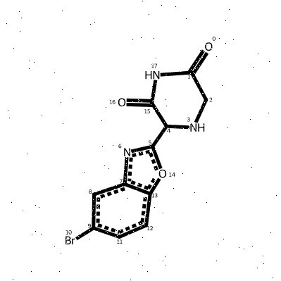 O=C1CNC(c2nc3cc(Br)ccc3o2)C(=O)N1